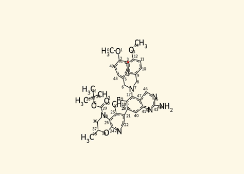 COc1ccc(CN(Cc2ccc(OC)cc2)c2c(F)c(-c3cnc4c(c3C)N(C(=O)OC(C)(C)C)CC(C)O4)cc3nc(N)ncc23)cc1